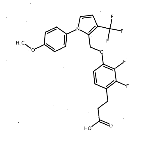 COc1ccc(-n2ccc(C(F)(F)F)c2COc2ccc(CCC(=O)O)c(F)c2F)cc1